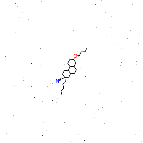 CCCCC[C@]1(C#N)CCC2C(CCC3C[C@H](OCCCC)CCC32)C1